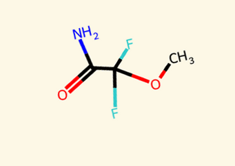 COC(F)(F)C(N)=O